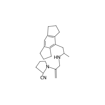 C=C(CNC(C)Cc1c2c(cc3c1CCC3)CCC2)N1CCCC1C#N